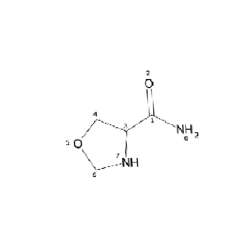 NC(=O)C1COCN1